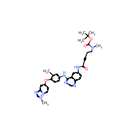 Cc1cc(Nc2ncnc3ccc(NC(=O)C#CCCN(C)C(=O)OC(C)(C)C)cc23)ccc1Oc1ccn2c(c1)nc[n+]2C